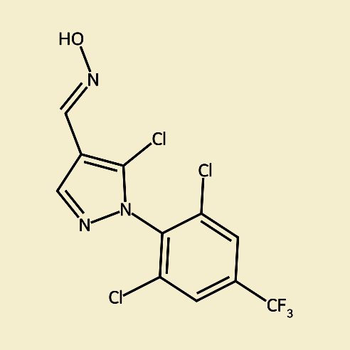 ON=Cc1cnn(-c2c(Cl)cc(C(F)(F)F)cc2Cl)c1Cl